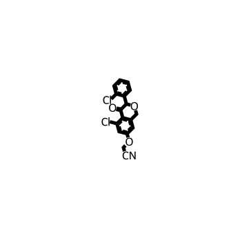 N#CCOc1cc(Cl)c2c(c1)COC(c1ccccc1Cl)C2=O